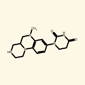 CN1CC2CNCCN2c2ccc(N3CCC(=O)NC3=O)cc21